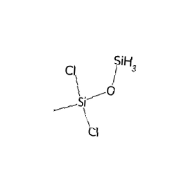 C[Si](Cl)(Cl)O[SiH3]